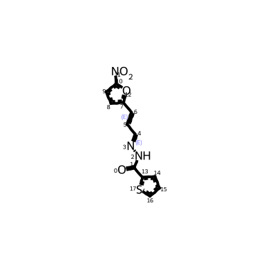 O=C(N/N=C/C=C/c1ccc([N+](=O)[O-])o1)c1cccs1